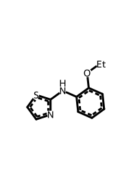 CCOc1ccccc1Nc1nccs1